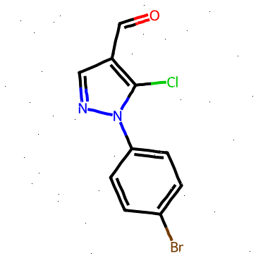 O=Cc1cnn(-c2ccc(Br)cc2)c1Cl